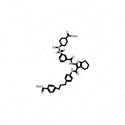 CCN(C1CCC(C(=O)OC)CC1)S(=O)(=O)c1cccc(C(=O)Nc2sc3c(c2C(=O)Nc2ccc(CCCc4ccc(C(=O)OC)cc4)cc2)CCCC3)c1